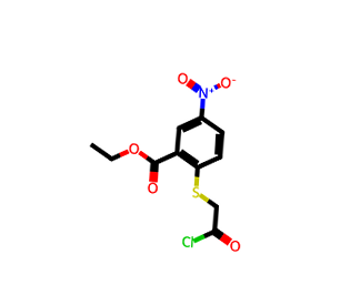 CCOC(=O)c1cc([N+](=O)[O-])ccc1SCC(=O)Cl